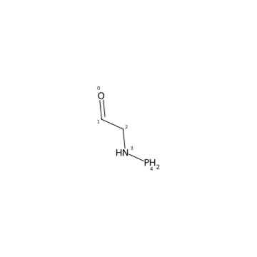 O=CCNP